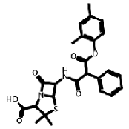 Cc1ccc(OC(=O)C(C(=O)NC2C(=O)N3C2SC(C)(C)C3C(=O)O)c2ccccc2)c(C)c1